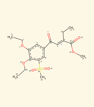 CCOc1cc(C(=O)/C=C(\CC)C(=O)OC)cc(S(C)(=O)=O)c1OCC